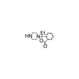 CCC1(N2CCNCC2)OC(=O)c2ccccc21